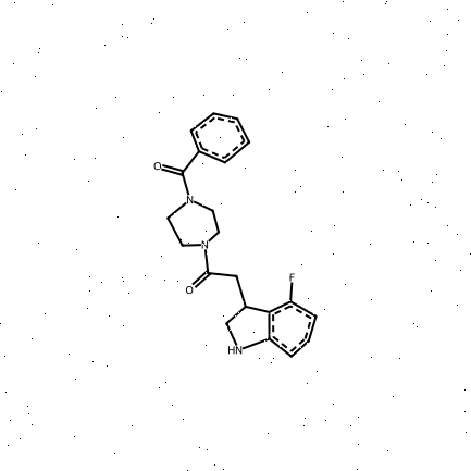 O=C(CC1CNc2cccc(F)c21)N1CCN(C(=O)c2ccccc2)CC1